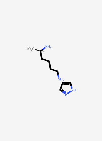 NCCCC[C@H](N)C(=O)O.c1cn[nH]c1